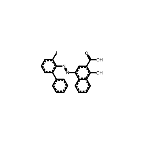 O=C(O)c1cc(/N=N/c2c(I)cccc2-c2ccccc2)c2ccccc2c1O